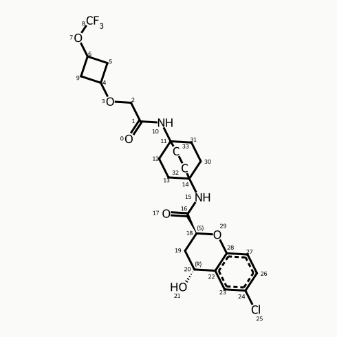 O=C(COC1CC(OC(F)(F)F)C1)NC12CCC(NC(=O)[C@@H]3C[C@@H](O)c4cc(Cl)ccc4O3)(CC1)CC2